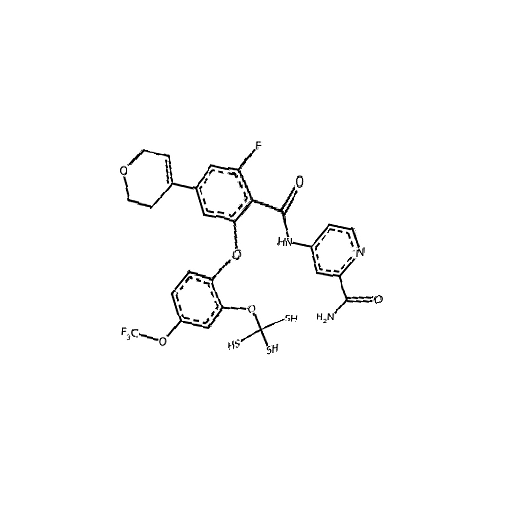 NC(=O)c1cc(NC(=O)c2c(F)cc(C3=CCOCC3)cc2Oc2ccc(OC(F)(F)F)cc2OC(S)(S)S)ccn1